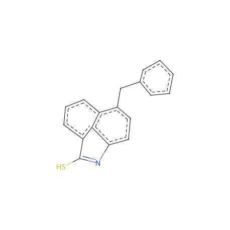 SC1=Nc2ccc(Cc3ccccc3)c3cccc1c23